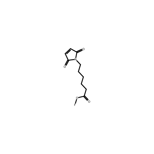 O=C(CCCCCN1C(=O)C=CC1=O)OF